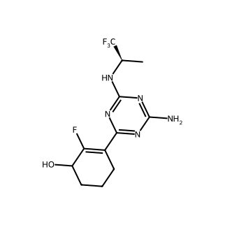 C[C@@H](Nc1nc(N)nc(C2=C(F)C(O)CCC2)n1)C(F)(F)F